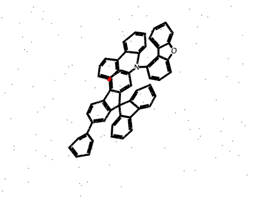 c1ccc(-c2ccc3c(c2)C2(c4ccccc4-c4ccccc42)c2cc(N(c4ccccc4-c4ccccc4)c4cccc5oc6ccccc6c45)ccc2-3)cc1